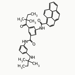 CCC(C)(C)Nc1cccc(NC(=O)c2cc(NC(=O)c3ccc4ccc5cccc6ccc3c4c56)cc(C(=O)C(C)(C)CC)c2)c1